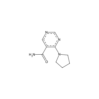 NC(=O)c1cncnc1N1CCCC1